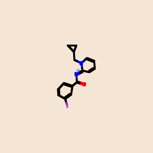 O=C(/N=c1\ccccn1CC1CC1)c1cccc(I)c1